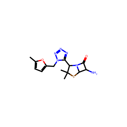 Cc1ccc(Cn2nnnc2C2N3C(=O)C(N)C3SC2(C)C)o1